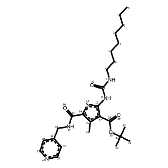 CCCCCCCCNC(=O)Nc1sc(C(=O)NCc2ccncc2)c(C)c1C(=O)OC(C)(C)C